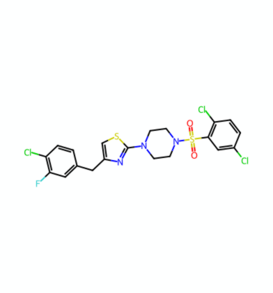 O=S(=O)(c1cc(Cl)ccc1Cl)N1CCN(c2nc(Cc3ccc(Cl)c(F)c3)cs2)CC1